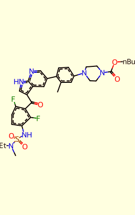 CCCCOC(=O)N1CCN(c2ccc(-c3cnc4[nH]cc(C(=O)c5c(F)ccc(NS(=O)(=O)N(C)CC)c5F)c4c3)c(C)c2)CC1